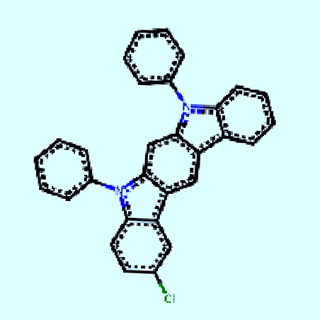 Clc1ccc2c(c1)c1cc3c4ccccc4n(-c4ccccc4)c3cc1n2-c1ccccc1